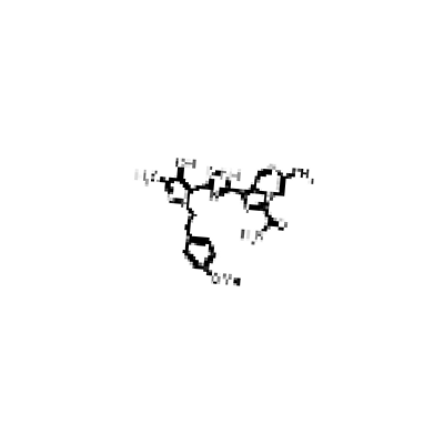 COc1ccc(CCn2nc(C)c(O)c2-c2n[nH]c(-c3nc(C(N)=O)n4cc(C)ncc34)n2)cc1